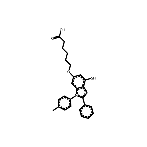 Cc1ccc(-n2c(-c3ccccc3)nc3c(S)cc(OCCCCCC(=O)O)cc32)cc1